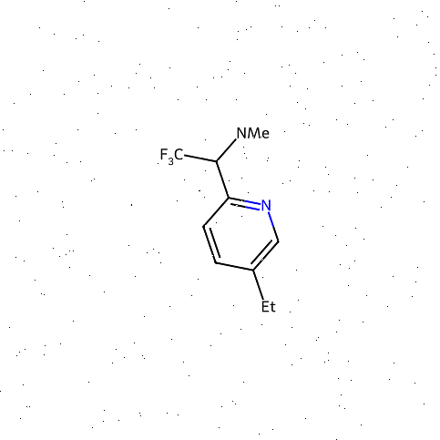 CCc1ccc(C(NC)C(F)(F)F)nc1